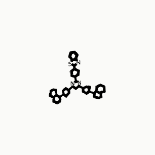 c1ccc2c(-c3ccc(-c4cc(-c5ccc(-c6cccc7ccccc67)cc5)nc(-c5ccc(-c6nc7ccccc7s6)cc5)n4)cc3)cccc2c1